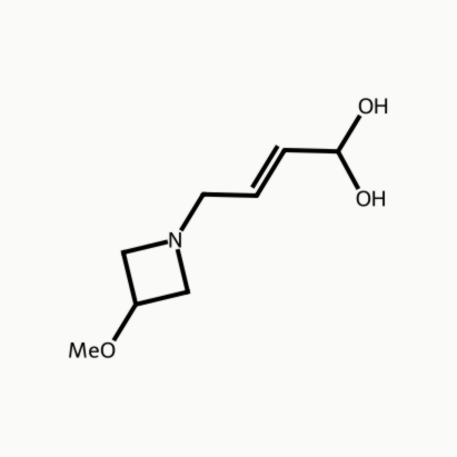 COC1CN(C/C=C/C(O)O)C1